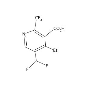 CCc1c(C(F)F)cnc(C(F)(F)F)c1C(=O)O